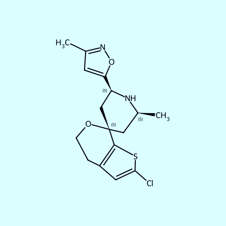 Cc1cc([C@@H]2C[C@]3(C[C@H](C)N2)OCCc2cc(Cl)sc23)on1